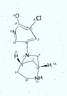 Clc1cc(N2C[C@H]3C[C@@H]2CCN3)cnc1Cl